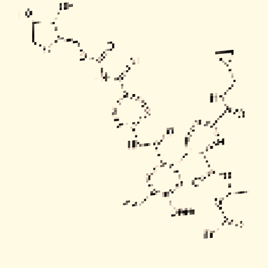 C=Cc1cc(C(=O)Nc2ccc(C(=N)NC(=O)OC[C@H]3OC[C@H](O)[C@@H]3O)cc2)c(-c2ccc(C(=O)NCC3CC3)nc2C(=O)OC(C)OC(=O)C(C)C)cc1OC